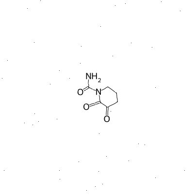 NC(=O)N1CCCC(=O)C1=O